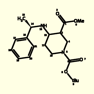 COC(=O)C1CN(C(=O)OC(C)(C)C)CCC1N[C@@H](C)c1ccccc1